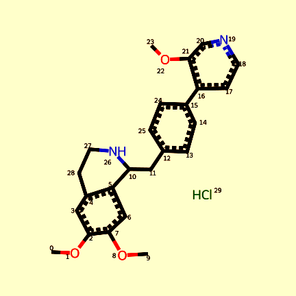 COc1cc2c(cc1OC)C(Cc1ccc(-c3ccncc3OC)cc1)NCC2.Cl